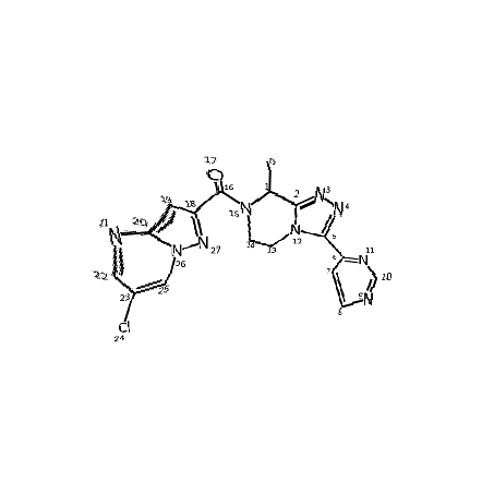 CC1c2nnc(-c3ccncn3)n2CCN1C(=O)c1cc2ncc(Cl)cn2n1